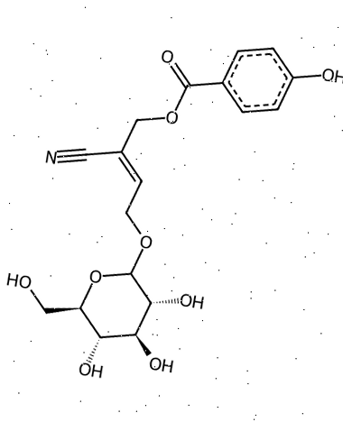 N#C/C(=C\COC1O[C@H](CO)[C@@H](O)[C@H](O)[C@H]1O)COC(=O)c1ccc(O)cc1